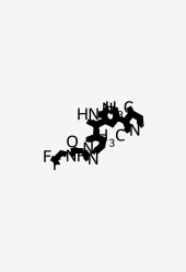 Cc1ccnc(C)c1-c1cnc2[nH]cc(-c3ccc4ncc(C(=O)NCC(F)F)n4c3)c2c1